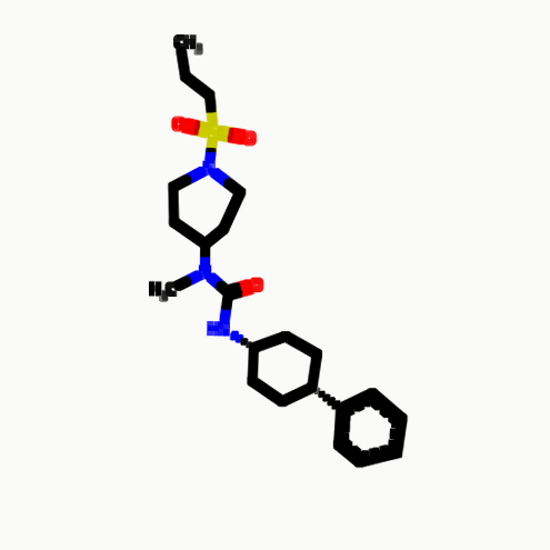 CCCS(=O)(=O)N1CCC(N(C)C(=O)N[C@H]2CC[C@@H](c3ccccc3)CC2)CC1